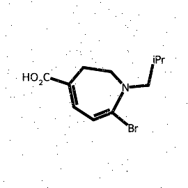 CC(C)CN1CCC(C(=O)O)=CC=C1Br